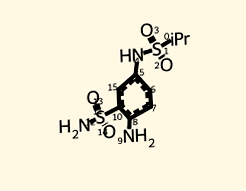 CC(C)S(=O)(=O)Nc1ccc(N)c(S(N)(=O)=O)c1